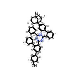 C[C@@H]1C[C@@H]2C[C@H](C)CC(c3ccc(-c4ccccc4-c4nc(-c5ccccc5)nc(-c5ccc(-c6ccc(C#N)cc6)cc5-c5ccccc5)n4)cc3)(C1)C2